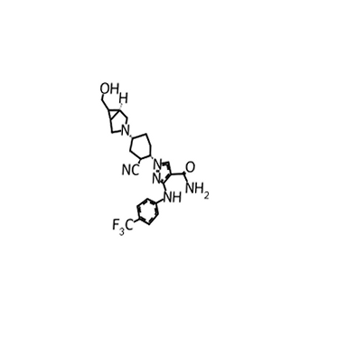 N#C[C@H]1C[C@H](N2CC3C(CO)[C@H]3C2)CC[C@@H]1n1cc(C(N)=O)c(Nc2ccc(C(F)(F)F)cc2)n1